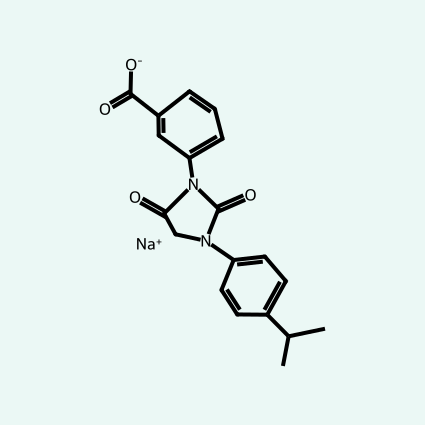 CC(C)c1ccc(N2CC(=O)N(c3cccc(C(=O)[O-])c3)C2=O)cc1.[Na+]